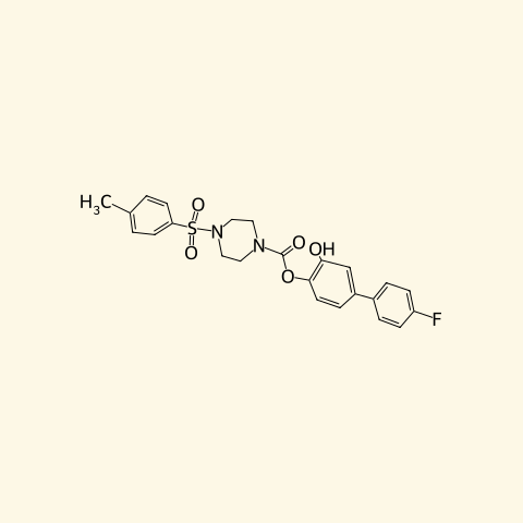 Cc1ccc(S(=O)(=O)N2CCN(C(=O)Oc3ccc(-c4ccc(F)cc4)cc3O)CC2)cc1